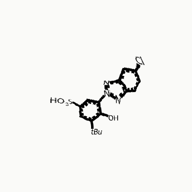 CC(C)(C)c1cc(S(=O)(=O)O)cc(-n2nc3ccc(Cl)cc3n2)c1O